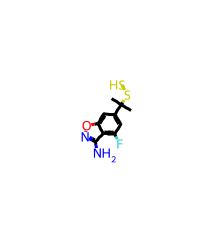 CC(C)(SS)c1cc(F)c2c(N)noc2c1